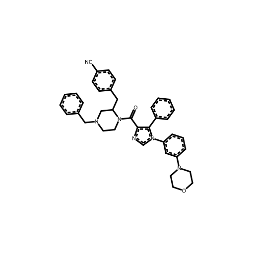 N#Cc1ccc(CC2CN(Cc3ccccc3)CCN2C(=O)c2ncn(-c3cccc(N4CCOCC4)c3)c2-c2ccccc2)cc1